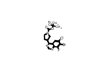 CC(C)(C)OC(=O)N1CCC(c2ncnc3c(F)c(Br)c(Cl)cc23)C1